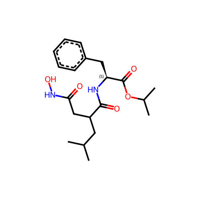 CC(C)CC(CC(=O)NO)C(=O)N[C@@H](Cc1ccccc1)C(=O)OC(C)C